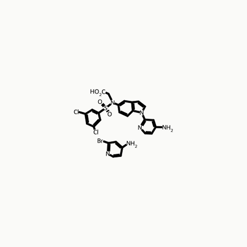 Nc1ccnc(-n2ccc3cc(N(CC(=O)O)S(=O)(=O)c4cc(Cl)cc(Cl)c4)ccc32)c1.Nc1ccnc(Br)c1